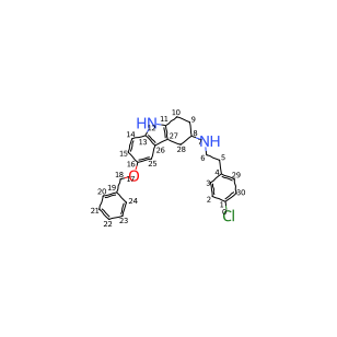 Clc1ccc(CCNC2CCc3[nH]c4ccc(OCc5ccccc5)cc4c3C2)cc1